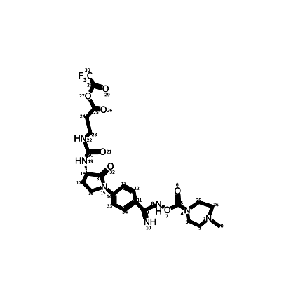 CN1CCN(C(=O)ONC(=N)c2ccc(N3CC[C@H](NC(=O)NCCC(=O)OC(=O)C(F)(F)F)C3=O)cc2)CC1